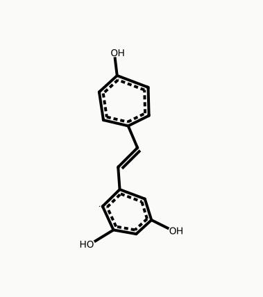 Oc1[c]c(C=Cc2ccc(O)cc2)cc(O)c1